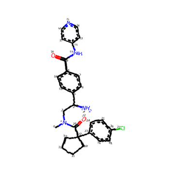 CN(CC(N)c1ccc(C(=O)Nc2ccncc2)cc1)C(=O)C1(c2ccc(Cl)cc2)CCCC1